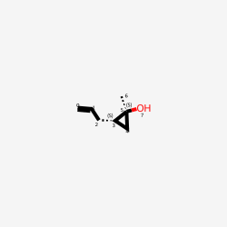 C=CC[C@H]1C[C@]1(C)O